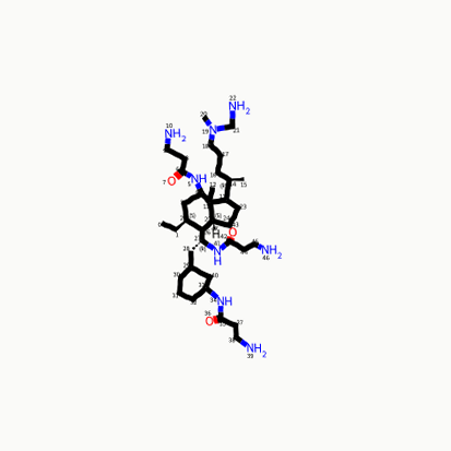 CC[C@H]1CC(NC(=O)CCN)C2(C)C([C@H](C)CCCN(C)CN)CC[C@H]2C1[C@@H](CC1CCCC(NC(=O)CCN)C1)NC(=O)CCN